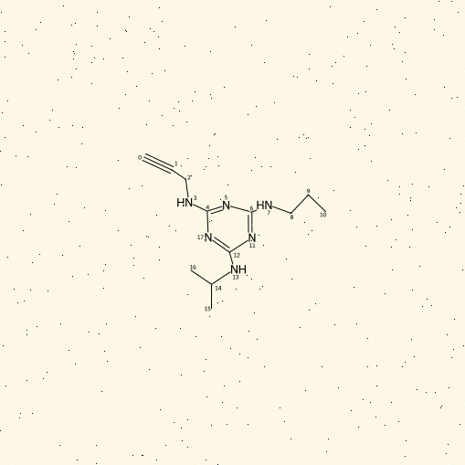 C#CCNc1nc(NCCC)nc(NC(C)C)n1